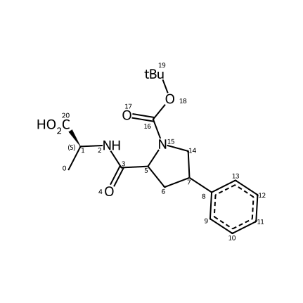 C[C@H](NC(=O)C1CC(c2ccccc2)CN1C(=O)OC(C)(C)C)C(=O)O